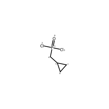 O=P(Cl)(Cl)CC1CC1